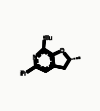 CC(C)c1cc2c(c(C(C)(C)C)n1)O[C@H](C)C2